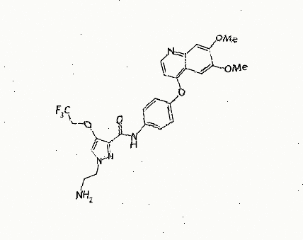 COc1cc2nccc(Oc3ccc(NC(=O)c4nn(CCN)cc4OCC(F)(F)F)cc3)c2cc1OC